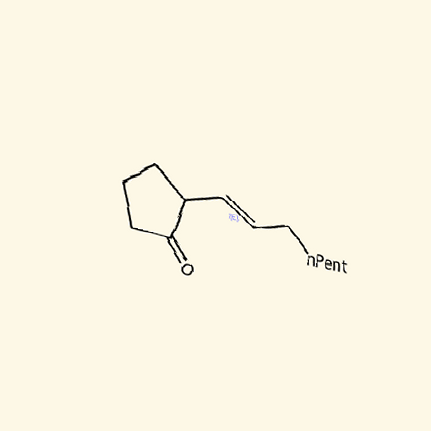 CCCCCC/C=C/C1CCCC1=O